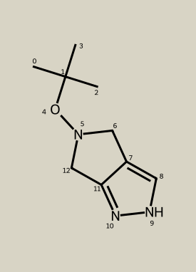 CC(C)(C)ON1Cc2c[nH]nc2C1